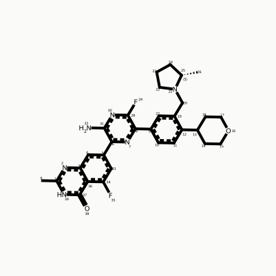 Cc1nc2cc(-c3nc(-c4ccc(C5CCOCC5)c(CN5CCC[C@@H]5C)c4)c(F)nc3N)cc(F)c2c(=O)[nH]1